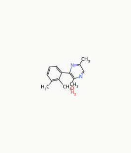 Cc1cnc(C)c(-c2cccc(C)c2C)n1.O